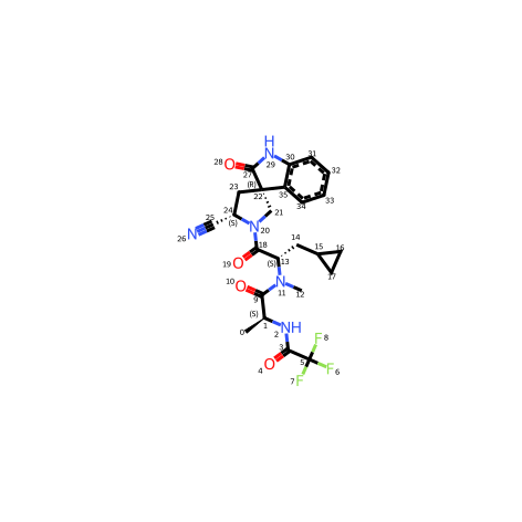 C[C@H](NC(=O)C(F)(F)F)C(=O)N(C)[C@@H](CC1CC1)C(=O)N1C[C@]2(C[C@H]1C#N)C(=O)Nc1ccccc12